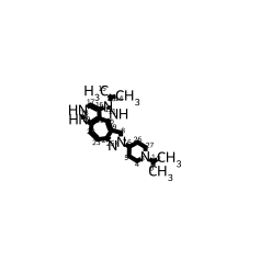 CC(C)N1CCC(N2CC3=C4NN(C(C)C)C5=CNNC(=C54)C=CC3=N2)CC1